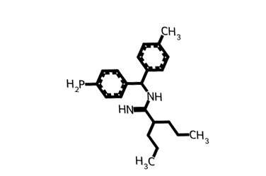 CCCC(CCC)C(=N)NC(c1ccc(C)cc1)c1ccc(P)cc1